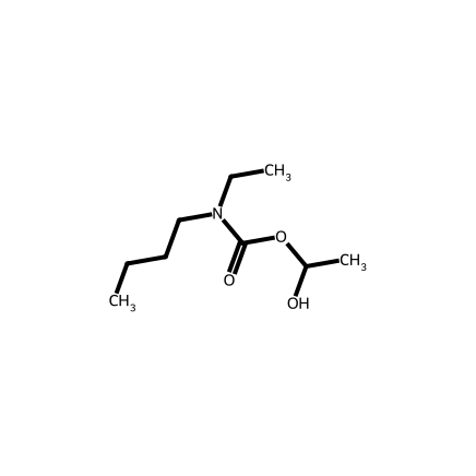 CCCCN(CC)C(=O)OC(C)O